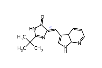 CC(C)(C)C1=N/C(=C\C2=CNC3N=CC=CC23)C(=O)N1